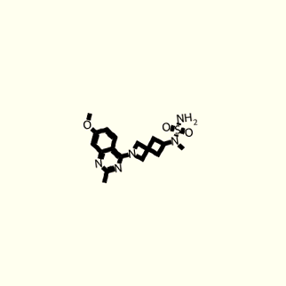 COc1ccc2c(N3CC4(CC(N(C)S(N)(=O)=O)C4)C3)nc(C)nc2c1